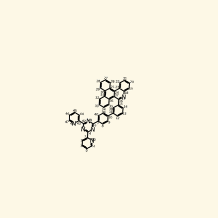 c1ccc(-c2nc(-c3ccc(-c4cccc(-c5nc6ccccc6c6c7ccccc7c7ccccc7c56)c4)cc3)nc(-c3ccccn3)n2)nc1